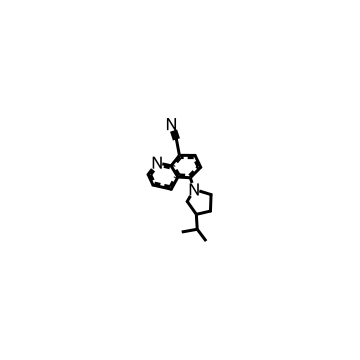 CC(C)C1CCN(c2ccc(C#N)c3ncccc23)C1